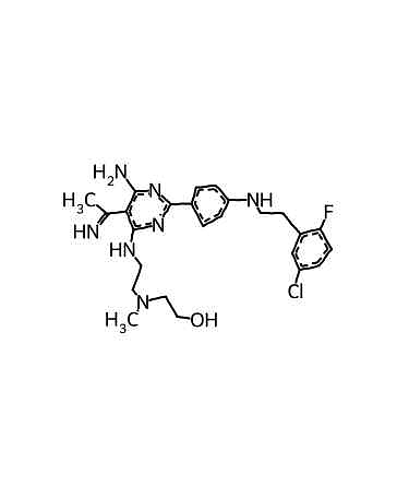 CC(=N)c1c(N)nc(-c2ccc(NCCc3cc(Cl)ccc3F)cc2)nc1NCCN(C)CCO